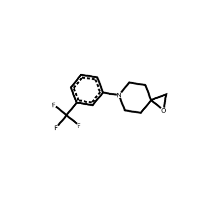 FC(F)(F)c1cccc(N2CCC3(CC2)CO3)c1